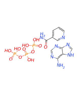 NC(=O)c1cccnc1.Nc1ncnc2nc[nH]c12.O=P(O)(O)OP(=O)(O)OP(=O)(O)O